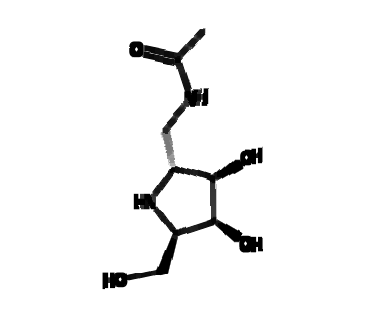 CC(=O)NC[C@H]1N[C@H](CO)[C@H](O)[C@@H]1O